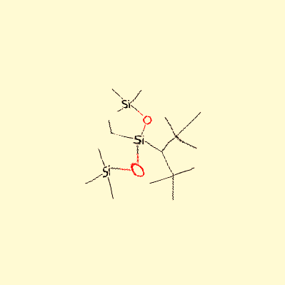 CC[Si](O[Si](C)(C)C)(O[Si](C)(C)C)C(C(C)(C)C)C(C)(C)C